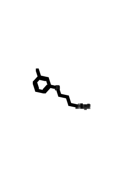 CCCCCCCCCCOc1cccc(C)c1